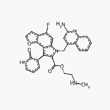 CNCCOC(=O)c1c(-c2ccc[nH]c2=O)c2c3occc3c(F)cc2n1Cc1cc(N)nc2ccccc12